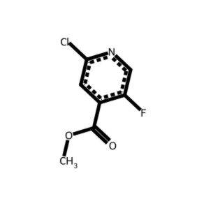 COC(=O)c1cc(Cl)ncc1F